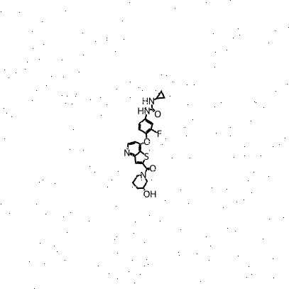 O=C(Nc1ccc(Oc2ccnc3cc(C(=O)N4CCCC(O)C4)sc23)c(F)c1)NC1CC1